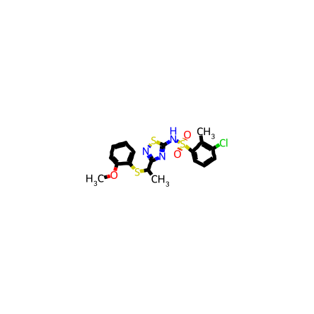 COc1ccccc1SC(C)c1nsc(NS(=O)(=O)c2cccc(Cl)c2C)n1